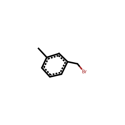 Cc1[c]c(CBr)ccc1